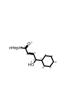 CCCCCCCC(=O)C=CC(O)C1CCCCC1